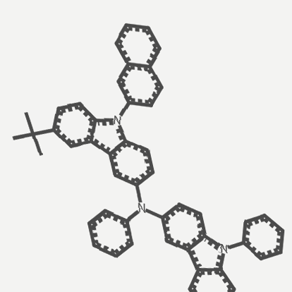 CC(C)(C)c1ccc2c(c1)c1cc(N(c3ccccc3)c3ccc4c(c3)c3ccccc3n4-c3ccccc3)ccc1n2-c1ccc2ccccc2c1